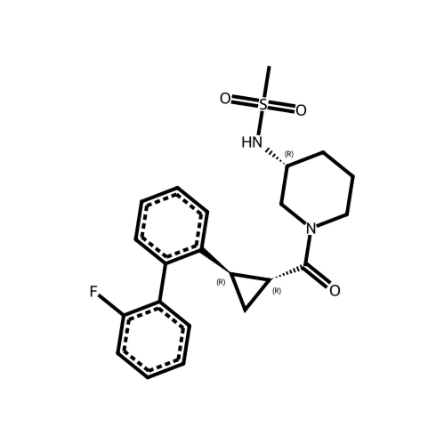 CS(=O)(=O)N[C@@H]1CCCN(C(=O)[C@@H]2C[C@H]2c2ccccc2-c2ccccc2F)C1